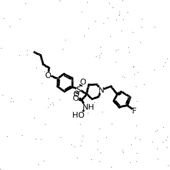 CCCCOc1ccc(S(=O)(=O)C2(C(=O)NO)CCN(Cc3ccc(F)cc3)CC2)cc1